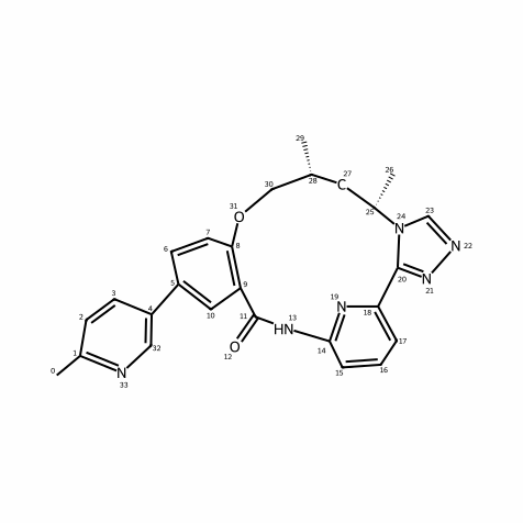 Cc1ccc(-c2ccc3c(c2)C(=O)Nc2cccc(n2)-c2nncn2[C@@H](C)C[C@@H](C)CO3)cn1